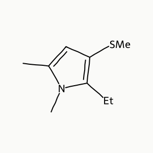 CCc1c(SC)cc(C)n1C